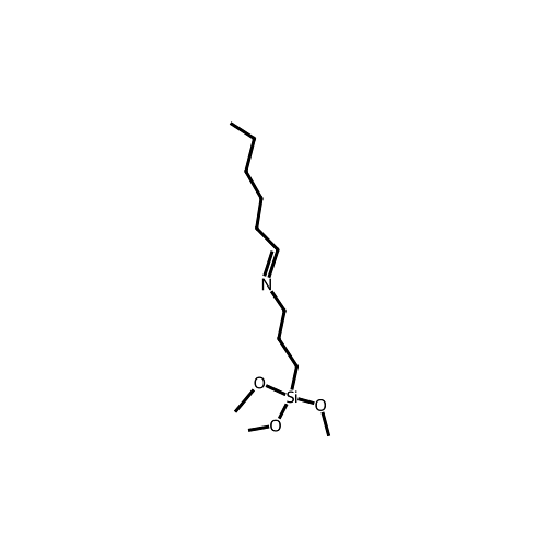 CCCCCC=NCCC[Si](OC)(OC)OC